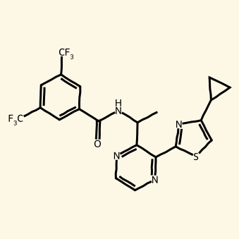 CC(NC(=O)c1cc(C(F)(F)F)cc(C(F)(F)F)c1)c1nccnc1-c1nc(C2CC2)cs1